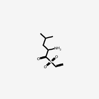 C=CS(=O)(=O)C(=O)C(N)CC(C)C